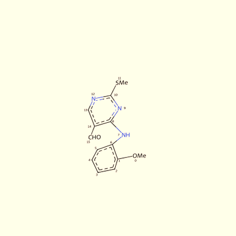 COc1ccccc1Nc1nc(SC)ncc1C=O